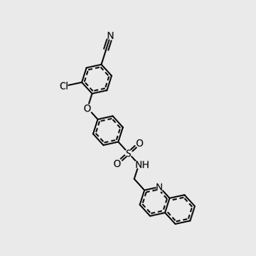 N#Cc1ccc(Oc2ccc(S(=O)(=O)NCc3ccc4ccccc4n3)cc2)c(Cl)c1